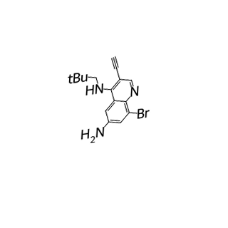 C#Cc1cnc2c(Br)cc(N)cc2c1NCC(C)(C)C